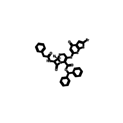 O=C(Cc1ccccc1)NC1C(=O)N2C(C(=O)OC(c3ccccc3)c3ccccc3)=C(Sc3cc(=O)c4cc(Br)sc4s3)CS[C@H]12